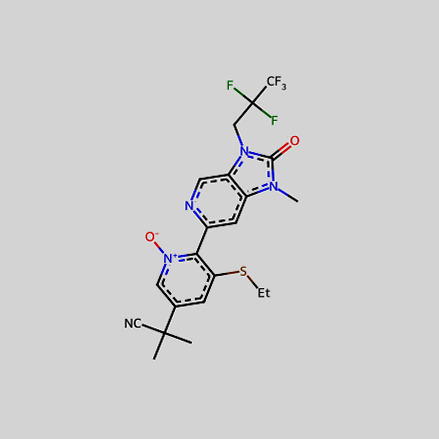 CCSc1cc(C(C)(C)C#N)c[n+]([O-])c1-c1cc2c(cn1)n(CC(F)(F)C(F)(F)F)c(=O)n2C